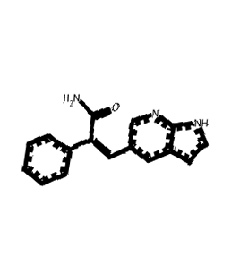 NC(=O)C(=Cc1cnc2[nH]ccc2c1)c1ccccc1